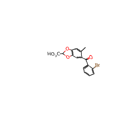 Cc1cc2c(cc1C(=O)c1ccccc1Br)OC(C(=O)O)O2